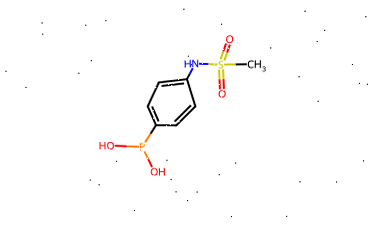 CS(=O)(=O)Nc1ccc(P(O)O)cc1